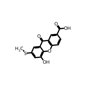 CSc1cc(O)c2oc3ccc(C(=O)O)cc3c(=O)c2c1